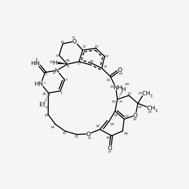 CC[C@@]12C=CN(C(=N)N1)[C@@H]1CCOc3ccc(cc31)C(=O)N[C@H]1CC(C)(C)OC3=C1C=C(OCCCC2)C(=O)C3